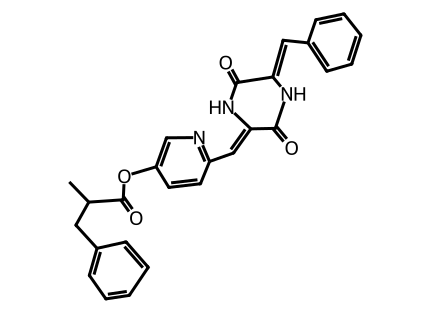 CC(Cc1ccccc1)C(=O)Oc1ccc(/C=c2\[nH]c(=O)/c(=C/c3ccccc3)[nH]c2=O)nc1